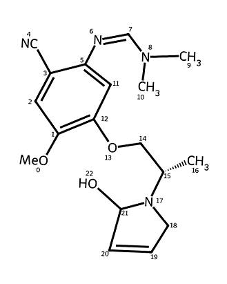 COc1cc(C#N)c(/N=C\N(C)C)cc1OC[C@H](C)N1CC=CC1O